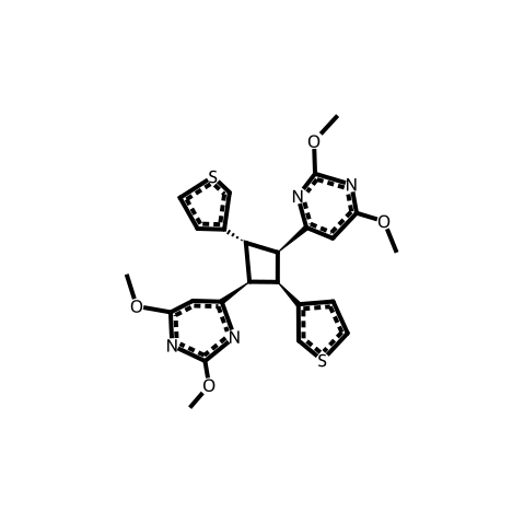 COc1cc([C@H]2[C@H](c3ccsc3)[C@@H](c3cc(OC)nc(OC)n3)[C@H]2c2ccsc2)nc(OC)n1